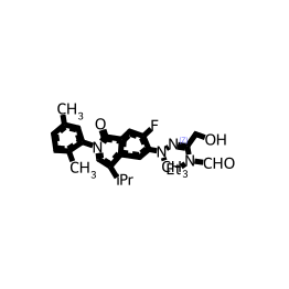 CCN(C=O)/C(CO)=N\N(C)c1cc2c(C(C)C)cn(-c3cc(C)ccc3C)c(=O)c2cc1F